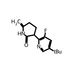 C=C1CCC(c2ncc(C(C)(C)C)cc2F)C(=O)N1